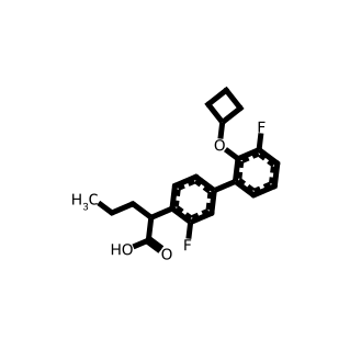 CCCC(C(=O)O)c1ccc(-c2cccc(F)c2OC2CCC2)cc1F